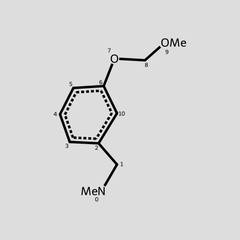 CNCc1cccc(OCOC)c1